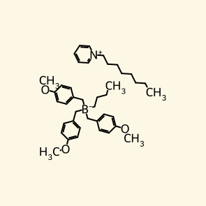 CCCCCCCC[n+]1ccccc1.CCCC[B-](Cc1ccc(OC)cc1)(Cc1ccc(OC)cc1)Cc1ccc(OC)cc1